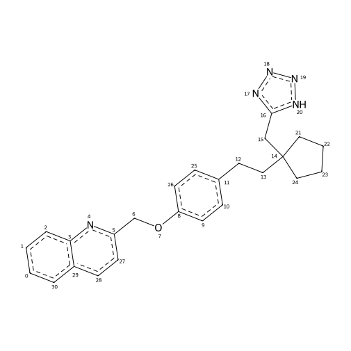 c1ccc2nc(COc3ccc(CCC4(Cc5nnn[nH]5)CCCC4)cc3)ccc2c1